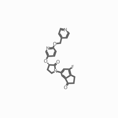 O=C1CCc2c(F)cc(N3CC[C@@H](Oc4ccc(OCc5ccncc5)nc4)C3=O)cc21